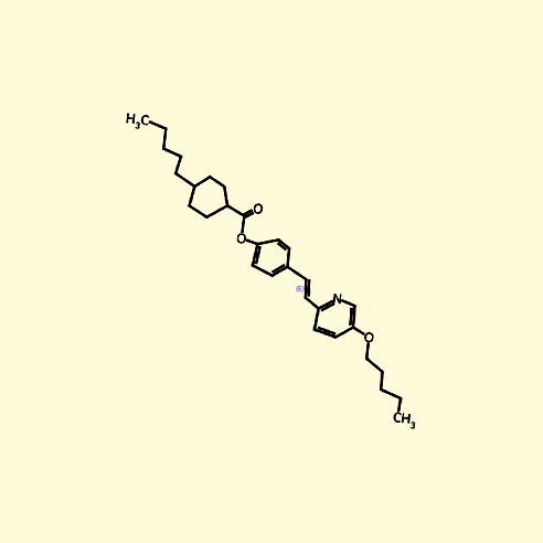 CCCCCOc1ccc(/C=C/c2ccc(OC(=O)C3CCC(CCCCC)CC3)cc2)nc1